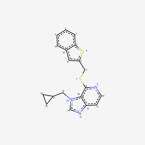 c1ccc2sc(CSc3nccc4ncn(CC5CC5)c34)cc2c1